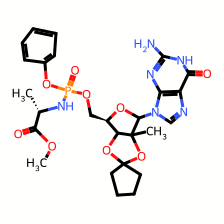 COC(=O)[C@H](C)NP(=O)(OC[C@H]1OC(n2cnc3c(=O)[nH]c(N)nc32)C2(C)OC3(CCCC3)OC12)Oc1ccccc1